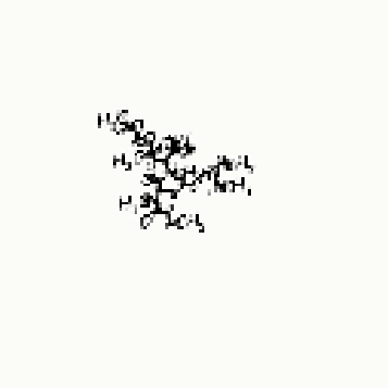 CCCC(=O)N(C)[C@H](CSCCN(CC)CC)C(=O)N(C)[C@@H](CC(C)(C)OCOCC)C(N)=O